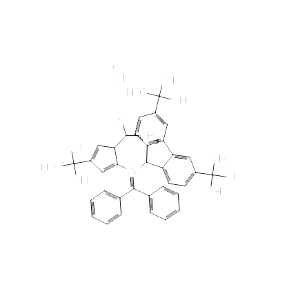 CC(C)C1C=C(C(C)(C)C)C=[C]1[Zr+2](=[C](c1ccccc1)c1ccccc1)[CH]1c2ccc(C(C)(C)C)cc2-c2cc(C(C)(C)C)ccc21.[Cl-].[Cl-]